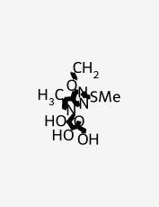 C=CCOc1nc(SC)nc2c1c(C)cn2[C@H]1OC(CO)[C@@H](O)[C@H]1O